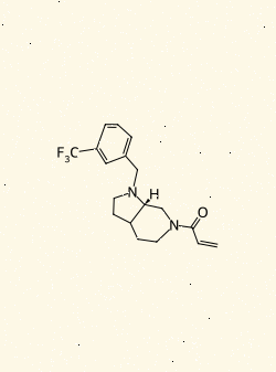 C=CC(=O)N1CCC2CCN(Cc3cccc(C(F)(F)F)c3)[C@@H]2C1